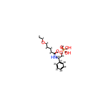 CCOCCCCC(=O)N[C@@H](COP(=O)(O)O)c1ccccc1